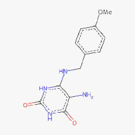 COc1ccc(CNc2[nH]c(=O)[nH]c(=O)c2N)cc1